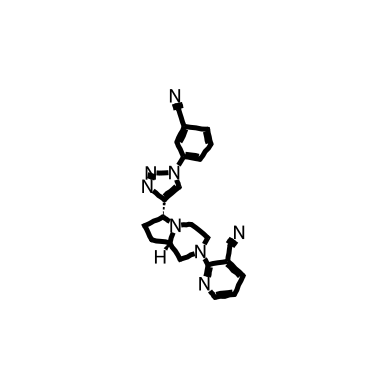 N#Cc1cccc(-n2cc([C@H]3CC[C@H]4CN(c5ncccc5C#N)CCN43)nn2)c1